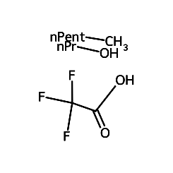 CCCCCC.CCCO.O=C(O)C(F)(F)F